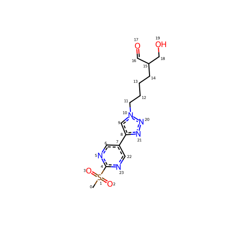 CS(=O)(=O)c1ncc(-c2cn(CCCCC(C=O)CO)nn2)cn1